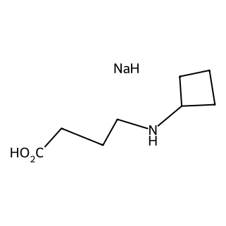 O=C(O)CCCNC1CCC1.[NaH]